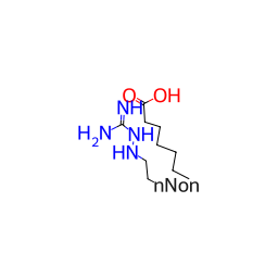 CCCCCCC(=O)O.CCCCCCCCCCCNNC(=N)N